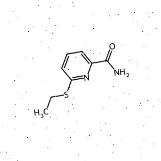 CCSc1cccc(C(N)=O)n1